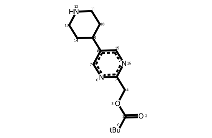 CC(C)(C)C(=O)OCc1ncc(C2CCNCC2)cn1